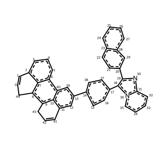 C1=Cc2cccc3c2c(c2c4c(cc(-c5ccc(-c6c(-c7ccc8ccccc8c7)nc7ccccn67)cc5)cc43)C=CC2)C1